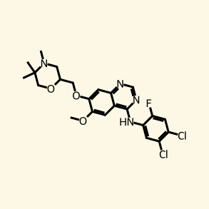 COc1cc2c(Nc3cc(Cl)c(Cl)cc3F)ncnc2cc1OCC1CN(C)C(C)(C)CO1